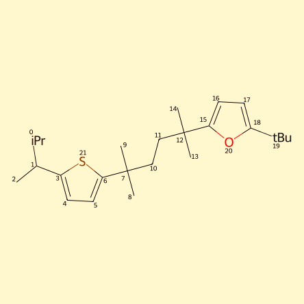 CC(C)C(C)c1ccc(C(C)(C)CCC(C)(C)c2ccc(C(C)(C)C)o2)s1